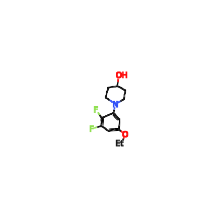 CCOc1cc(F)c(F)c(N2CCC(O)CC2)c1